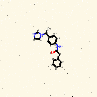 CC(C)C(c1ccc(NC(=O)Cc2ccccc2)cc1)n1ccnc1